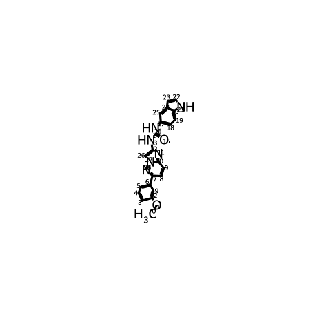 COc1cccc(-c2ccc3nc(NC(=O)Nc4ccc5[nH]ccc5c4)cn3n2)c1